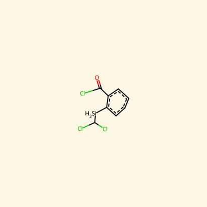 O=C(Cl)c1ccccc1[SiH2]C(Cl)Cl